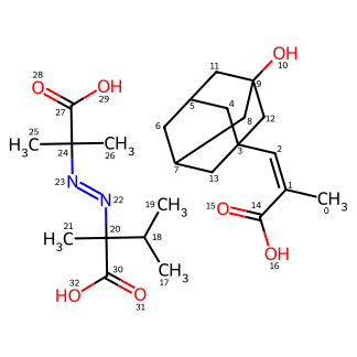 CC(=CC12CC3CC(CC(O)(C3)C1)C2)C(=O)O.CC(C)C(C)(N=NC(C)(C)C(=O)O)C(=O)O